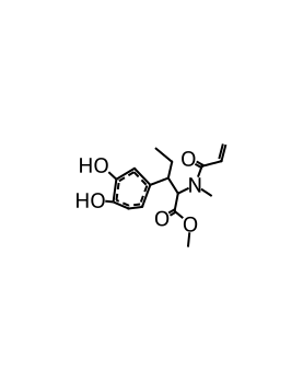 C=CC(=O)N(C)C(C(=O)OC)C(CC)c1ccc(O)c(O)c1